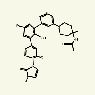 CC(=O)NC1(C)CCN(c2cncc(-c3cc(F)cc(-c4ccc(-n5ccn(C)c5=O)c(Cl)c4)c3O)c2)CC1